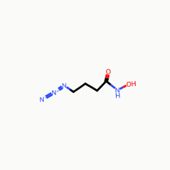 [N-]=[N+]=NCCCC(=O)NO